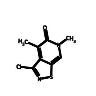 Cc1c(=O)n(C)cc2snc(Cl)c12